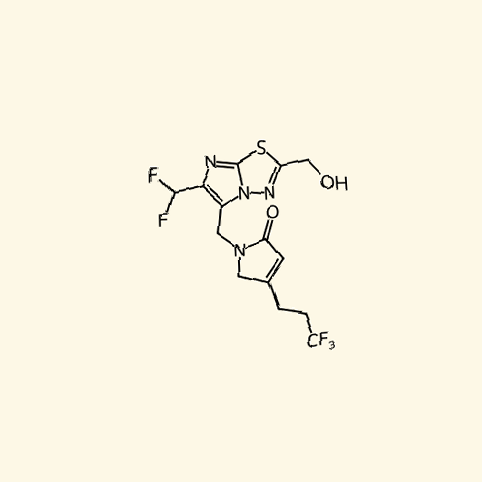 O=C1C=C(CCC(F)(F)F)CN1Cc1c(C(F)F)nc2sc(CO)nn12